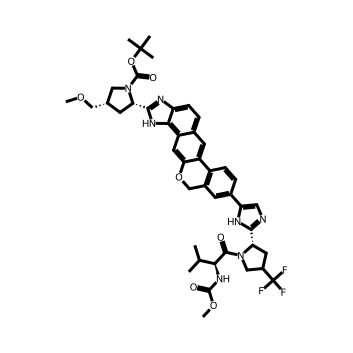 COC[C@H]1C[C@@H](c2nc3ccc4cc5c(cc4c3[nH]2)OCc2cc(-c3cnc([C@@H]4CC(C(F)(F)F)CN4C(=O)[C@@H](NC(=O)OC)C(C)C)[nH]3)ccc2-5)N(C(=O)OC(C)(C)C)C1